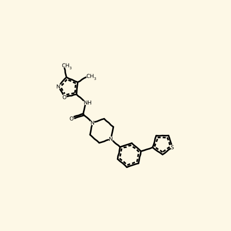 Cc1noc(NC(=O)N2CCN(c3cccc(-c4ccsc4)c3)CC2)c1C